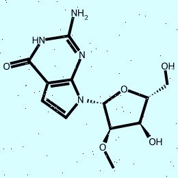 CO[C@@H]1[C@H](O)[C@@H](CO)O[C@H]1n1ccc2c(=O)[nH]c(N)nc21